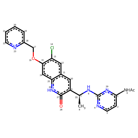 CC(=O)Nc1ccnc(N[C@@H](C)c2cc3cc(Cl)c(OCc4ccccn4)cc3[nH]c2=O)n1